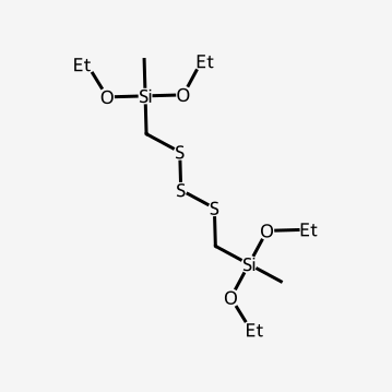 CCO[Si](C)(CSSSC[Si](C)(OCC)OCC)OCC